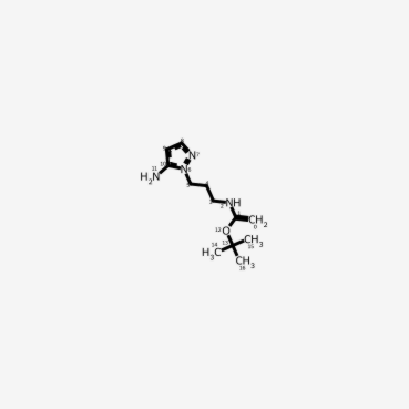 C=C(NCCCn1nccc1N)OC(C)(C)C